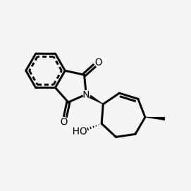 C[C@@H]1C=C[C@H](N2C(=O)c3ccccc3C2=O)[C@@H](O)CC1